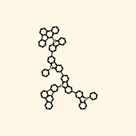 c1ccc(-n2c3ccccc3c3cc(-c4ccc5c(c4)c4ccc(-c6ccc7c8cc(-c9ccc%10c(c9)c9ccccc9n%10-c9c%10c%11c(cccc%11c%11ccccc9%11)-c9ccccc9-%10)ccc8n(-c8ccccc8)c7c6)cc4n5-c4ccc5c(c4)-c4cc6ccccc6c6cccc-5c46)ccc32)cc1